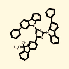 CC1(C)c2ccccc2-c2ccc(-c3nc(-n4c5ccccc5c5ccc(-c6ccccc6)cc54)nc(-n4c5ccccc5c5ccc(-c6ccccc6)cc54)n3)cc21